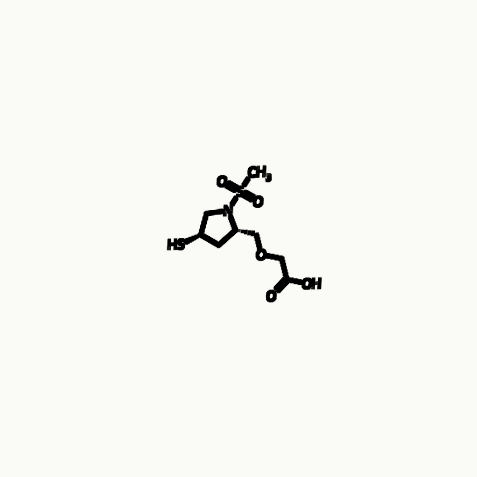 CS(=O)(=O)N1C[C@H](S)C[C@H]1COCC(=O)O